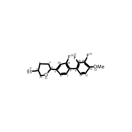 CCC1CCC(c2ccc(-c3ccc(OC)c(F)c3F)c(F)c2)OC1